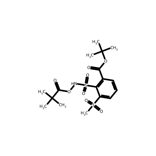 CC(C)(C)OC(=O)c1cccc(S(C)(=O)=O)c1S(=O)(=O)NOC(=O)C(C)(C)C